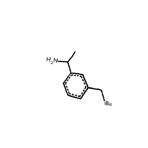 CCC(C)Cc1cccc(C(C)N)c1